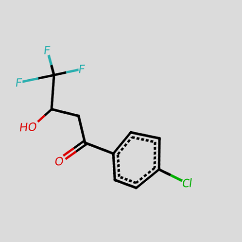 O=C(CC(O)C(F)(F)F)c1ccc(Cl)cc1